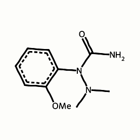 COc1ccccc1N(C(N)=O)N(C)C